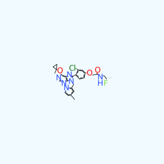 Cc1ccnc(Cn2c(-c3ccc(OCC(=O)NC[C@H](C)F)cc3Cl)nc3c(OC4(C)CC4)ncnc32)c1